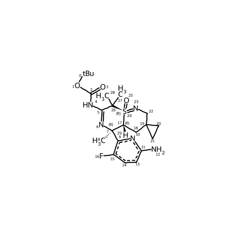 CC(C)(C)OC(=O)NC1=N[C@](C)(c2nc(N)ccc2F)[C@H]2CC3(CC3)CN=[S@]2(=O)C1(C)C